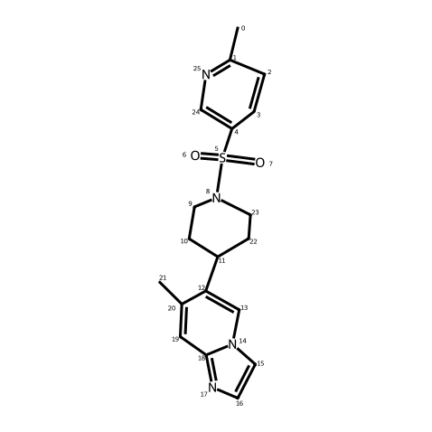 Cc1ccc(S(=O)(=O)N2CCC(c3cn4ccnc4cc3C)CC2)cn1